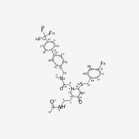 CC(=O)NCCc1cn(CC(=O)N(C)Cc2ccc(-c3ccc(C(F)(F)F)cc3)cc2)c(SCc2ccc(F)cc2)nc1=O